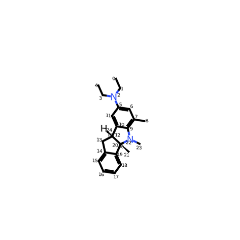 CCN(CC)c1cc(C)c2c(c1)[C@H]1Cc3ccccc3[C@@]1(C)N2C